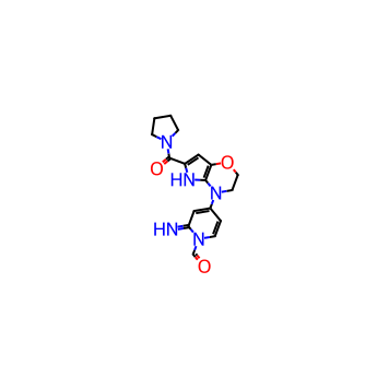 N=c1cc(N2CCOc3cc(C(=O)N4CCCC4)[nH]c32)ccn1C=O